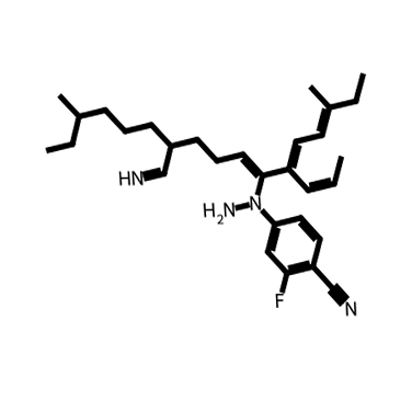 C\C=C/C(=C\C=C(/C)CC)C(=C/CCC(C=N)CCCC(C)CC)/N(N)c1ccc(C#N)c(F)c1